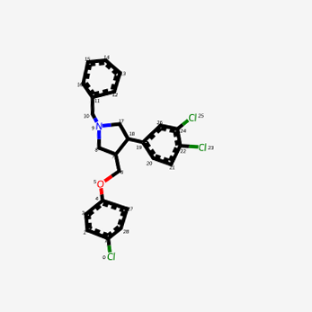 Clc1ccc(OCC2CN(Cc3ccccc3)CC2c2ccc(Cl)c(Cl)c2)cc1